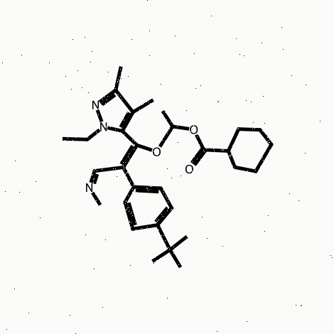 CCn1nc(C)c(C)c1/C(OC(C)OC(=O)C1CCCCC1)=C(\C=N/C)c1ccc(C(C)(C)C)cc1